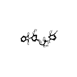 CCOc1cc(NC=C(C#N)C(=O)Nc2ccc(F)c(Cl)c2)ccc1N1C(=O)c2ccccc2C1=O